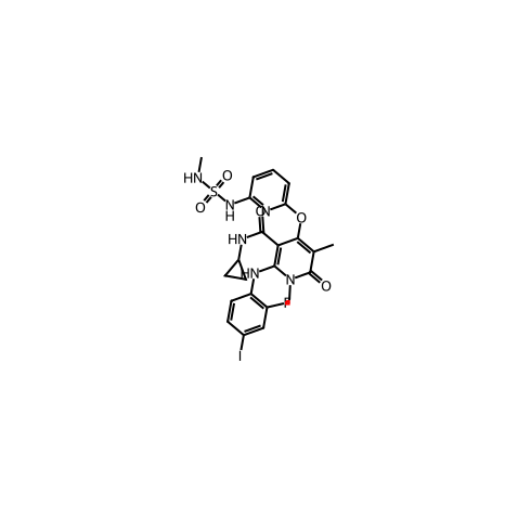 CNS(=O)(=O)Nc1cccc(Oc2c(C(=O)NC3CC3)c(Nc3ccc(I)cc3F)n(C)c(=O)c2C)n1